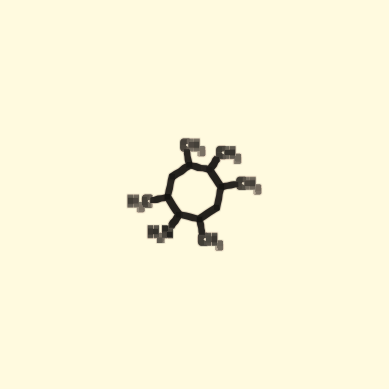 CC1CC(C)C(N)C(C)CC(C)C1C